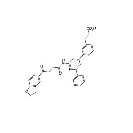 O=C(O)CCc1cccc(-c2cc(NC(=O)CCC(=O)c3ccc4c(c3)CCO4)nc(-c3ccccc3)c2)c1